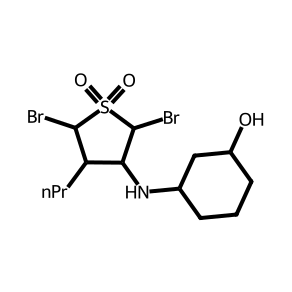 CCCC1C(NC2CCCC(O)C2)C(Br)S(=O)(=O)C1Br